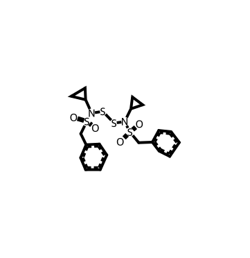 O=S(=O)(Cc1ccccc1)N(SSN(C1CC1)S(=O)(=O)Cc1ccccc1)C1CC1